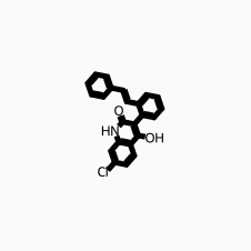 O=c1[nH]c2cc(Cl)ccc2c(O)c1-c1ccccc1C=Cc1ccccc1